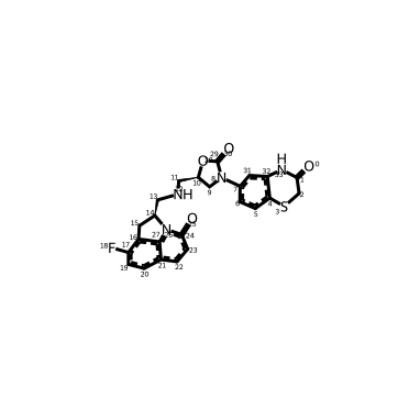 O=C1CSc2ccc(N3C[C@@H](CNC[C@@H]4Cc5c(F)ccc6ccc(=O)n4c56)OC3=O)cc2N1